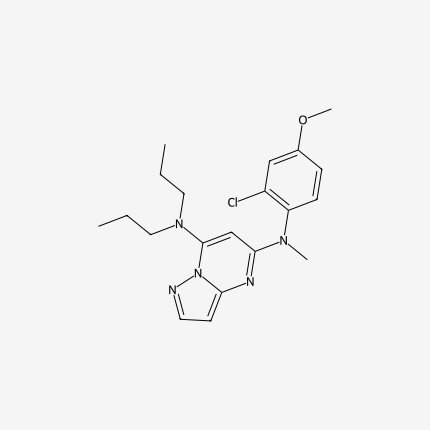 CCCN(CCC)c1cc(N(C)c2ccc(OC)cc2Cl)nc2ccnn12